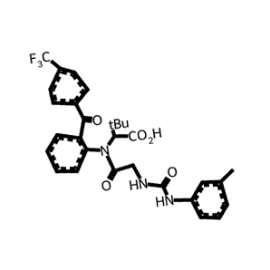 Cc1cccc(NC(=O)NCC(=O)N(c2ccccc2C(=O)c2ccc(C(F)(F)F)cc2)C(C(=O)O)C(C)(C)C)c1